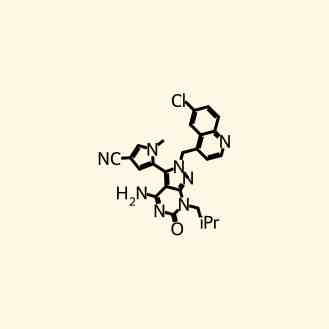 CC(C)Cn1c(=O)nc(N)c2c(-c3cc(C#N)cn3C)n(Cc3ccnc4ccc(Cl)cc34)nc21